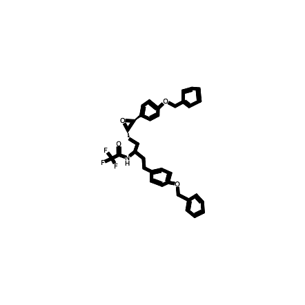 O=C(NC(CCc1ccc(OCc2ccccc2)cc1)CC[C@@H]1O[C@H]1c1ccc(OCc2ccccc2)cc1)C(F)(F)F